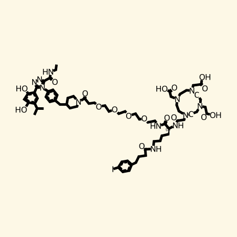 CCNC(=O)c1nnc(-c2cc(C(C)C)c(O)cc2O)n1-c1ccc(CC2CCN(C(=O)CCOCCOCCOCCOCCNC(=O)[C@H](CCCCNC(=O)CCCc3ccc(I)cc3)NC(=O)CN3CCN(CC(=O)O)CCN(CC(=O)O)CCN(CC(=O)O)CC3)CC2)cc1